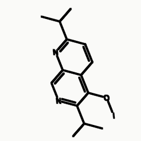 CC(C)c1ccc2c(OI)c(C(C)C)ncc2n1